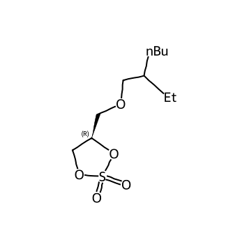 CCCCC(CC)COC[C@@H]1COS(=O)(=O)O1